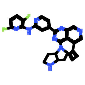 Fc1ccc(F)c(Nc2cc(-c3nc(N4CCC5NCCC54)c4c(C5=CC=C5)cncc4n3)ccn2)n1